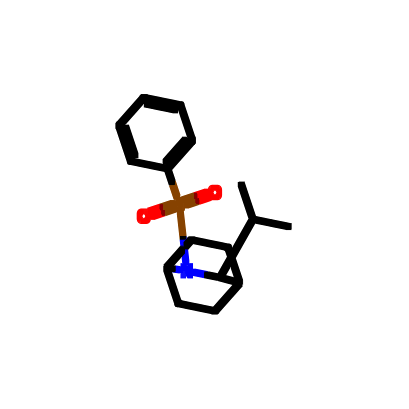 CC(C)C1C2CCC(CC2)N1S(=O)(=O)c1ccccc1